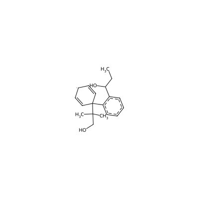 CCC(O)c1ccccc1C1(C(C)(C)CO)C=C[CH]C=C1